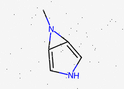 CN1c2c[nH]cc21